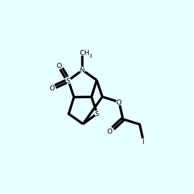 CN1C2C(OC(=O)CI)C3CC(C2S3)S1(=O)=O